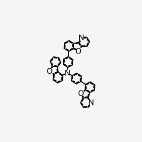 c1ccc2c(c1)oc1cccc(N(c3ccc(-c4cccc5c4oc4cccnc45)cc3)c3ccc(-c4cccc5c4oc4cccnc45)cc3)c12